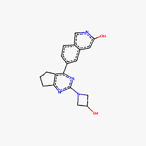 Oc1cc2cc(-c3nc(N4CC(O)C4)nc4c3CCC4)ccc2cn1